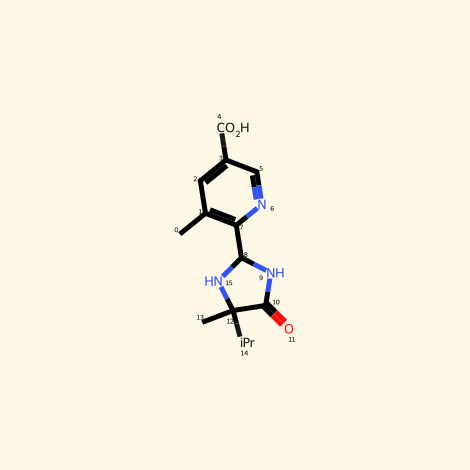 Cc1cc(C(=O)O)cnc1C1NC(=O)C(C)(C(C)C)N1